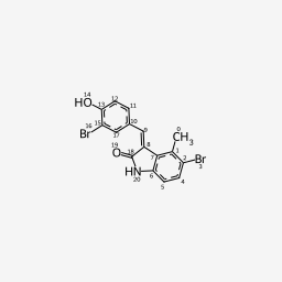 Cc1c(Br)ccc2c1C(=Cc1ccc(O)c(Br)c1)C(=O)N2